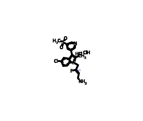 Cc1c(-c2cncc(S(C)(=O)=O)c2)c2cc(Cl)ccc2n1C/C(F)=C/CN.Cl.Cl